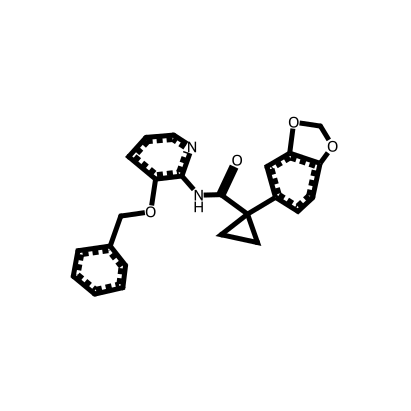 O=C(Nc1ncccc1OCc1ccccc1)C1(c2ccc3c(c2)OCO3)CC1